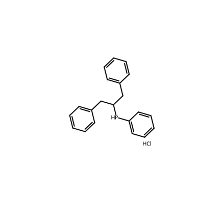 Cl.c1ccc(CC(Cc2ccccc2)Pc2ccccc2)cc1